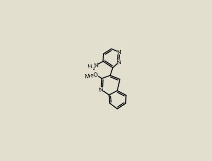 COc1nc2ccccc2cc1-c1nnccc1N